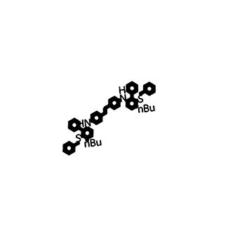 CCCCc1ccc(Nc2ccc(/C=C/c3ccc(Nc4ccc(CCCC)c(SCc5ccccc5)c4-c4ccccc4)cc3)cc2)c(-c2ccccc2)c1SCc1ccccc1